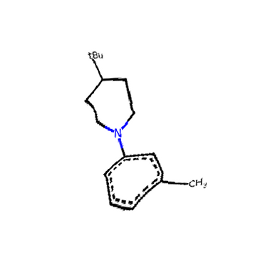 Cc1cccc(N2CCC(C(C)(C)C)CC2)c1